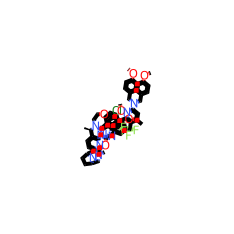 COc1ccc(CN(Cc2ccc(OC)cc2)c2cc(C)c(C(F)(F)F)c(-c3c(Cl)c4c5c(nc(OCCN6C7CCC6CN(C)C7)nc5c3F)N([C@H](C)c3cccnc3N(Cc3ccc(OC)cc3)Cc3ccc(OC)cc3)CCO4)n2)cc1